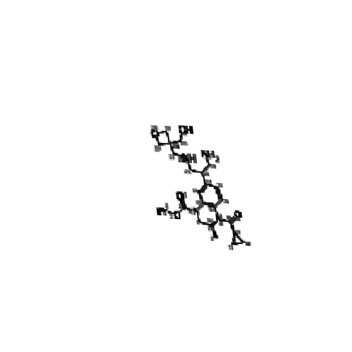 CC(C)OC(=O)N1C[C@H](C)N(C(=O)C2CC2)c2ccc(C(CN)CNCC3(CO)COC3)cc21